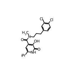 CC(C)c1cc(C(=O)N(C)CCCc2ccc(Cl)c(Cl)c2)c(O)c(=O)[nH]1